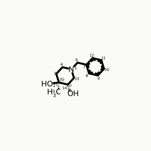 C[C@]1(O)CCN(Cc2ccccc2)C[C@@H]1O